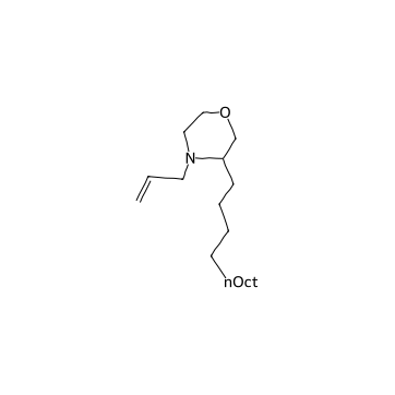 C=CCN1CCOCC1CCCCCCCCCCCC